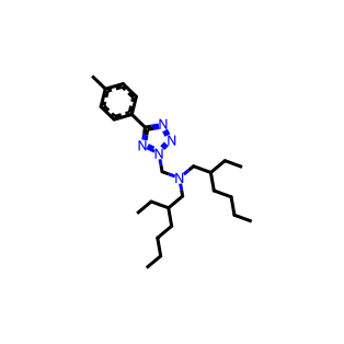 CCCCC(CC)CN(CC(CC)CCCC)Cn1nnc(-c2ccc(C)cc2)n1